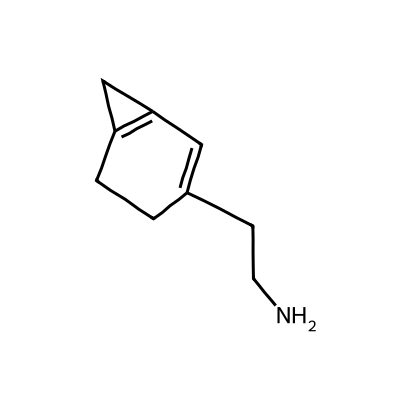 NCCC1=CC2=C(CC1)C2